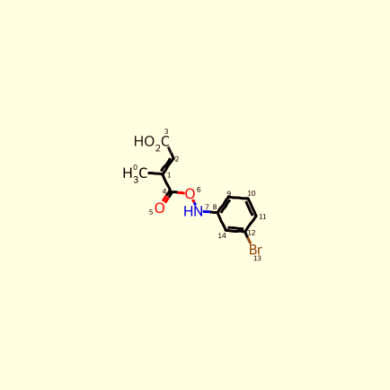 CC(=CC(=O)O)C(=O)ONc1cccc(Br)c1